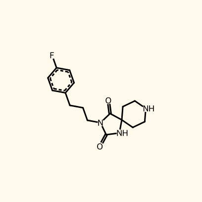 O=C1NC2(CCNCC2)C(=O)N1CCCc1ccc(F)cc1